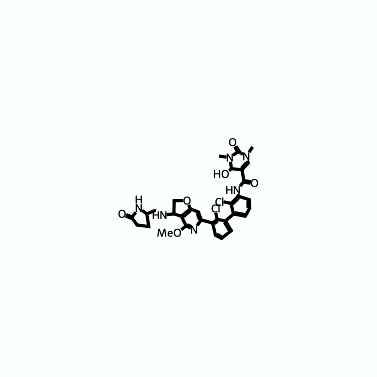 COc1nc(-c2cccc(-c3cccc(NC(=O)C4=CN(C)C(=O)N(C)C4O)c3Cl)c2Cl)cc2c1C(NCC1CCC(=O)N1)CO2